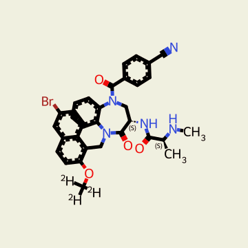 [2H]C([2H])([2H])Oc1ccc2cc(Br)ccc2c1CN1C(=O)[C@@H](NC(=O)[C@H](C)NC)CN(C(=O)c2ccc(C#N)cc2)c2ccccc21